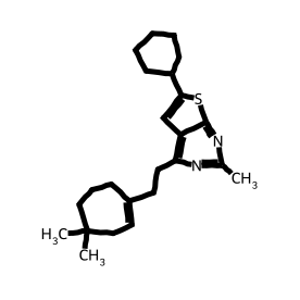 Cc1nc(CCC2=CCC(C)(C)CCC2)c2cc(C3CCCCC3)sc2n1